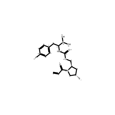 C=CC(=O)N1C[C@@H](F)C[C@@H]1COC(=O)NC(Cc1ccc(F)cc1)B(O)O